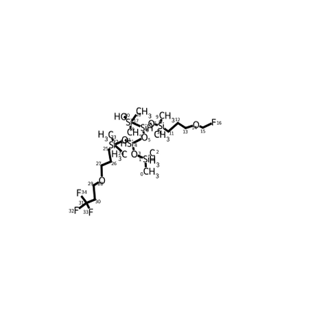 C[SiH](C)O[SiH](O[SiH](O[Si](C)(C)CCCOCF)[Si](C)(C)O)O[Si](C)(C)CCCOCCC(F)(F)F